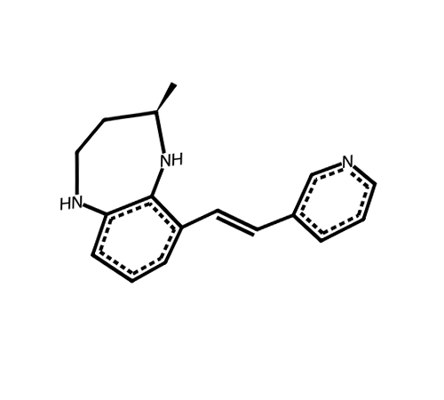 C[C@@H]1CCNc2cccc(/C=C/c3cccnc3)c2N1